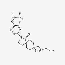 CCCOC[C@]1(O)CC[C@]2(CCN(c3ccc(O[C@H](C)C(F)(F)F)nc3)C2=O)CC1